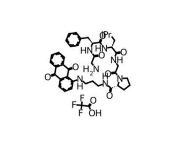 CC(C)C[C@H](NC(=O)[C@H](Cc1ccccc1)NC(=O)CN)C(=O)NCC(=O)N1CCC[C@@H]1C(=O)NCCCNc1cccc2c1C(=O)c1ccccc1C2=O.O=C(O)C(F)(F)F